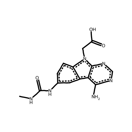 CNC(=O)Nc1ccc2c(c1)c1c(N)ncnc1n2CC(=O)O